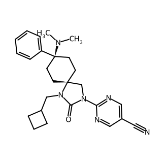 CN(C)[C@]1(c2ccccc2)CC[C@@]2(CC1)CN(c1ncc(C#N)cn1)C(=O)N2CC1CCC1